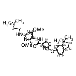 COc1nc(NCCN(C)C)nc(OC)c1NC(=O)c1coc(Oc2ccc3c(c2)C(C)(C)CC3)n1